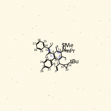 C=CC(/C=C(C)/C(=C(C)\C(C(\C)=C(/C)c1ccccc1)=C(/C)c1ccc(C)cc1)N(CCC)SC)C1CC1C(C)(C)C